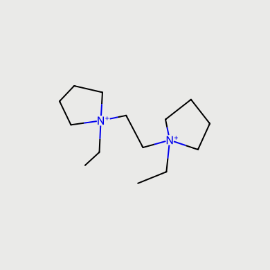 CC[N+]1(CC[N+]2(CC)CCCC2)CCCC1